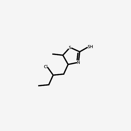 CCC(Cl)CC1N=C(S)SC1C